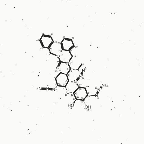 CC[C@H]([C@@H]1CC[C@@H](N=[N+]=[N-])[C@@H](O[C@H]2[C@H](O)[C@@H](O)[C@H](N=[N+]=[N-])C[C@@H]2N=[N+]=[N-])C1)N(Cc1ccccc1)C(=O)OCc1ccccc1